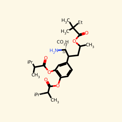 CCC(C)(C)C(=O)OC(C)CC(c1ccc(OC(=O)C(C)C(C)C)c(OC(=O)C(C)C(C)C)c1)[C@H](N)C(=O)O